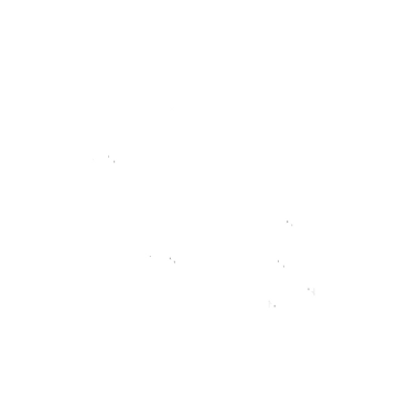 CN(C)c1ccnc(N[C@H]2CC[C@@H](CNC(=O)c3ccc(-c4ccc(Cl)cc4[N+](=O)[O-])o3)CC2)n1